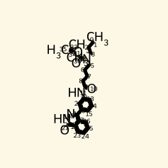 CCCCN(CCCCC(=O)Nc1cccc(-c2n[nH]c(=O)c3ccccc23)c1)C(=O)OC(C)(C)C